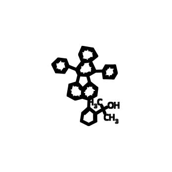 CC(C)(O)C1=CCCC=C1c1ccc2c3c(cccc13)-c1c-2c(-c2ccccc2)c2ccccc2c1-c1ccccc1